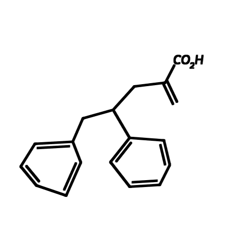 C=C(CC(Cc1ccccc1)c1ccccc1)C(=O)O